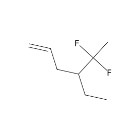 C=CCC(CC)C(C)(F)F